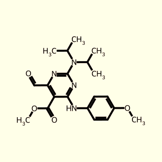 COC(=O)c1c(C=O)nc(N(C(C)C)C(C)C)nc1Nc1ccc(OC)cc1